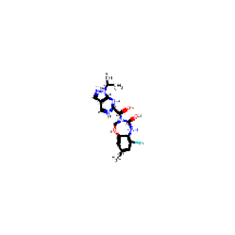 Cc1cc(F)c2c(c1)OCN(C(=O)c1ncc3cnn(C(C)C)c3n1)C(=O)N2